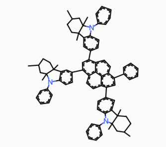 CC1CCC2(C)c3cc(-c4cc(-c5ccccc5)c5ccc6c(-c7ccc8c(c7)C7(C)CCC(C)CC7(C)N8c7ccccc7)cc(-c7ccc8c(c7)C7(C)CCC(C)CC7(C)N8c7ccccc7)c7ccc4c5c67)ccc3N(c3ccccc3)C2(C)C1